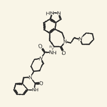 O=C(N[C@@H]1Cc2ccc3[nH]ncc3c2CN(CCN2CCCCC2)C1=O)N1CCC(N2Cc3ccccc3NC2=O)CC1